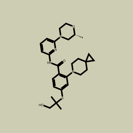 C[C@@H]1CN(c2cccc(NC(=O)c3ccc(SC(C)(C)CO)cc3N3CCC4(CC3)CC4)n2)CCO1